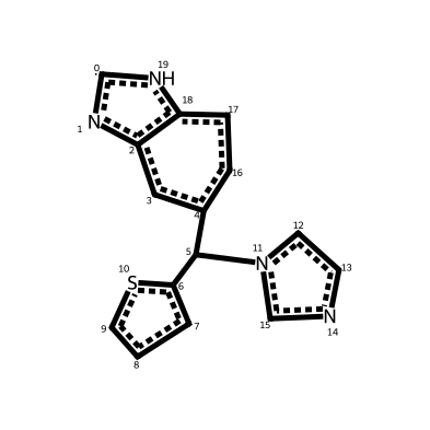 [c]1nc2cc(C(c3cccs3)n3ccnc3)ccc2[nH]1